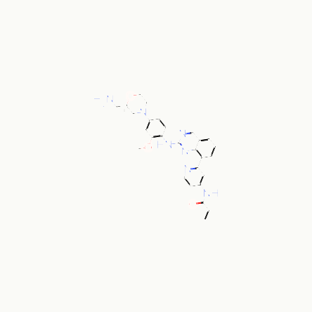 C=CC(=O)Nc1ccnc(-c2cccc3cnc(Nc4ccc(N5CCO[C@H](CN)C5)cc4OC)nc23)c1